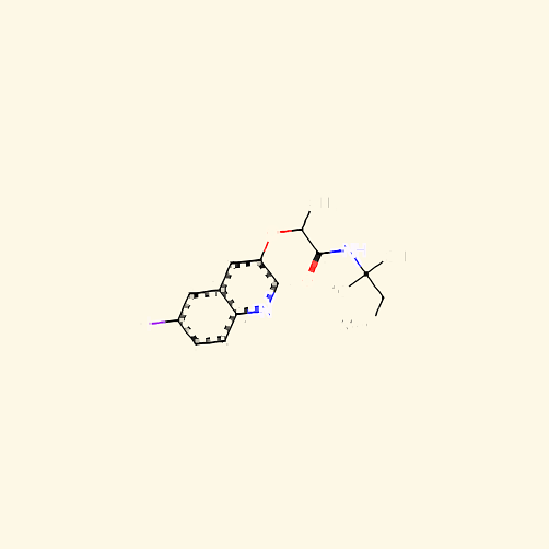 COCC(C)(C)NC(=O)C(C)Oc1cnc2ccc(I)cc2c1